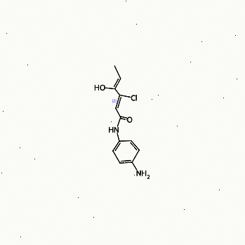 CC=C(O)/C(Cl)=C/C(=O)Nc1ccc(N)cc1